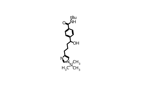 CC(C)(C)NC(=O)c1ccc(C(O)CCCc2cn([Si](C)(C)C)cn2)cc1